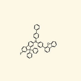 Fc1ccc2c(c1)C(c1ccccc1)(c1ccccc1)c1cc(N(c3ccc(-c4ccccc4)cc3)c3ccc(-c4cccc5c4oc4ccccc45)cc3)ccc1-2